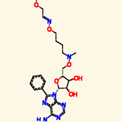 CCOCC=NOCCCCN(C)OC[C@H]1O[C@@H](n2c(-c3ccccc3)nc3c(N)ncnc32)[C@H](O)[C@@H]1O